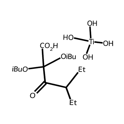 CCC(CC)C(=O)C(OCC(C)C)(OCC(C)C)C(=O)O.[OH][Ti]([OH])([OH])[OH]